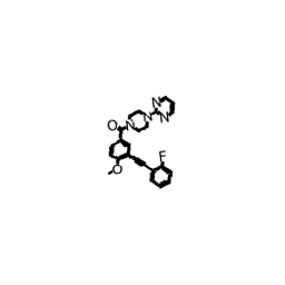 COc1ccc(C(=O)N2CCN(c3ncccn3)CC2)cc1C#Cc1ccccc1F